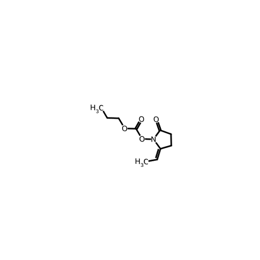 C/C=C1/CCC(=O)N1OC(=O)OCCC